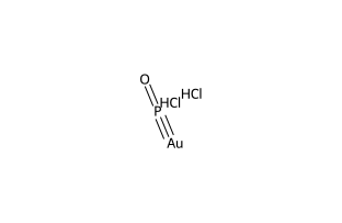 Cl.Cl.O=[P]#[Au]